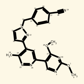 COc1ncc(-c2cc(-c3ccn(Cc4ccc(C#N)cc4)n3)c(C)nn2)c(OC)n1